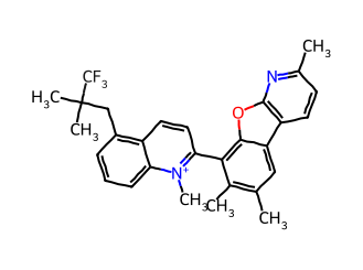 Cc1ccc2c(n1)oc1c(-c3ccc4c(CC(C)(C)C(F)(F)F)cccc4[n+]3C)c(C)c(C)cc12